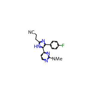 CNc1nccc(-c2[nH]c(CCC#N)nc2-c2ccc(F)cc2)n1